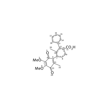 COC1=C(OC)C(=O)C(c2ccc(C(=O)O)c(-c3ccccc3)c2C)=C(C)C1=O